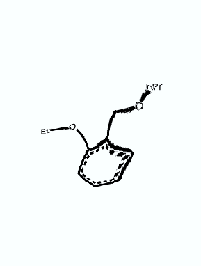 [CH2]CCOCc1ccccc1OCC